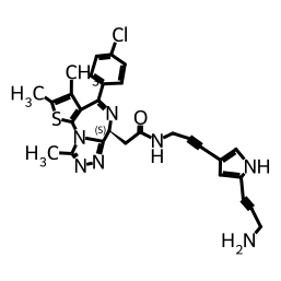 Cc1sc2c(c1C)C(c1ccc(Cl)cc1)=N[C@@H](CC(=O)NCC#Cc1c[nH]c(C#CCN)c1)c1nnc(C)n1-2